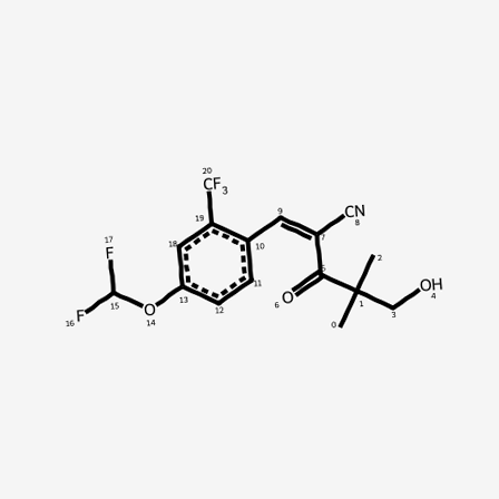 CC(C)(CO)C(=O)C(C#N)=Cc1ccc(OC(F)F)cc1C(F)(F)F